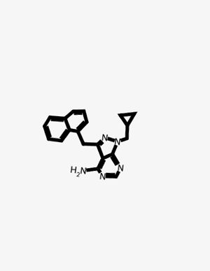 Nc1ncnc2c1c(Cc1cccc3ccccc13)nn2CC1CC1